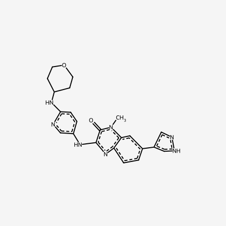 Cn1c(=O)c(Nc2ccc(NC3CCOCC3)nc2)nc2ccc(-c3cn[nH]c3)cc21